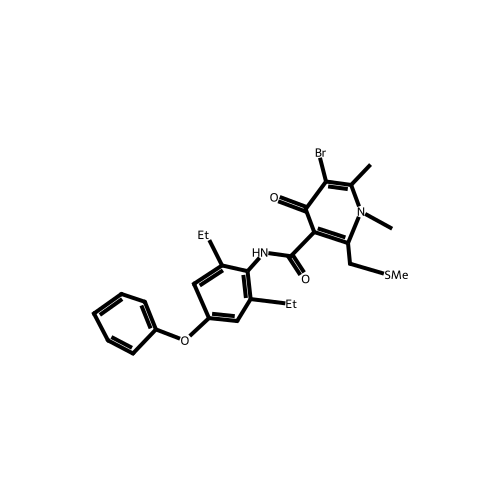 CCc1cc(Oc2ccccc2)cc(CC)c1NC(=O)c1c(CSC)n(C)c(C)c(Br)c1=O